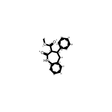 COC(=O)C1C(=O)Nc2ccccc2CC1c1ccccc1